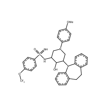 COc1ccc(N2CC(NS(=N)(=O)c3ccc(OC(F)(F)F)cc3)C(O)C(N3c4ccccc4CCc4ccccc43)C2)cc1